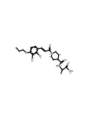 CCCSc1ccc(C=CC(=O)N2CCC(C(=O)NC(C)C(=O)O)CC2)c(Cl)c1Cl